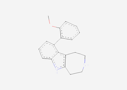 COc1ccccc1-c1cccc2[nH]c3c(c12)CCNCC3